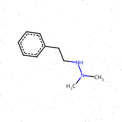 CN(C)NCCc1ccccc1